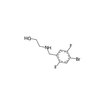 OCCNCc1cc(F)c(Br)cc1F